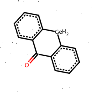 O=C1c2cccc[c]2[GeH2][c]2ccccc21